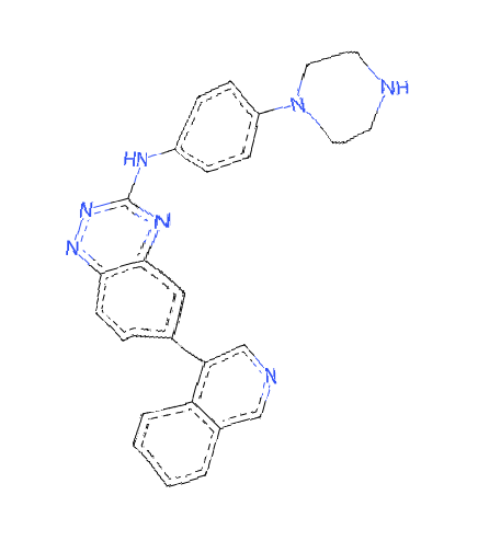 c1ccc2c(-c3ccc4nnc(Nc5ccc(N6CCNCC6)cc5)nc4c3)cncc2c1